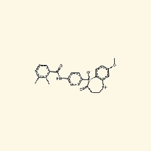 COc1ccc2c(c1)NCCC(=O)[N+]2([O-])c1ccc(NC(=O)c2cccc(C)c2C)cc1